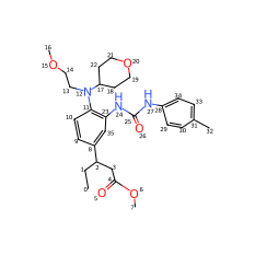 CCC(CC(=O)OC)c1ccc(N(CCOC)C2CCOCC2)c(NC(=O)Nc2ccc(C)cc2)c1